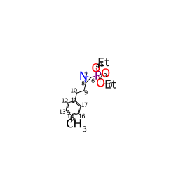 CCOP(=O)(OCC)C1N=C1CCc1ccc(C)cc1